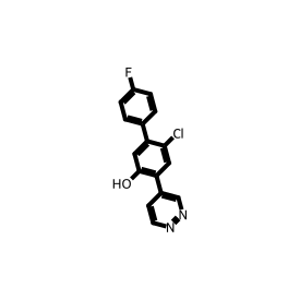 Oc1cc(-c2ccc(F)cc2)c(Cl)cc1-c1ccnnc1